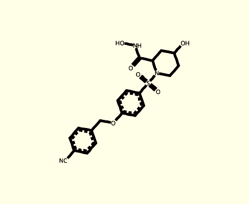 N#Cc1ccc(COc2ccc(S(=O)(=O)N3CCC(O)CC3C(=O)NO)cc2)cc1